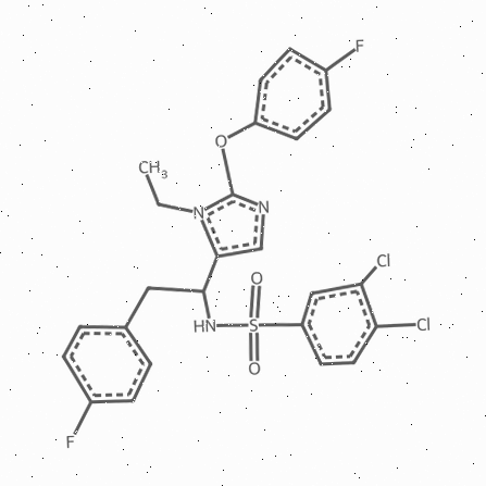 CCn1c(C(Cc2ccc(F)cc2)NS(=O)(=O)c2ccc(Cl)c(Cl)c2)cnc1Oc1ccc(F)cc1